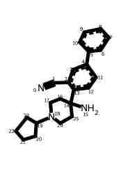 N#Cc1cc(-c2ccccc2)ccc1C1(N)CCN(C2CCCC2)CC1